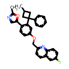 Cc1ncc(-c2ccc(OCc3ccc4cc(F)ccc4n3)cc2C2(c3ccccc3)CC(C)C2)o1